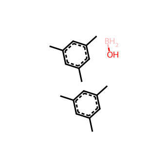 BO.Cc1cc(C)cc(C)c1.Cc1cc(C)cc(C)c1